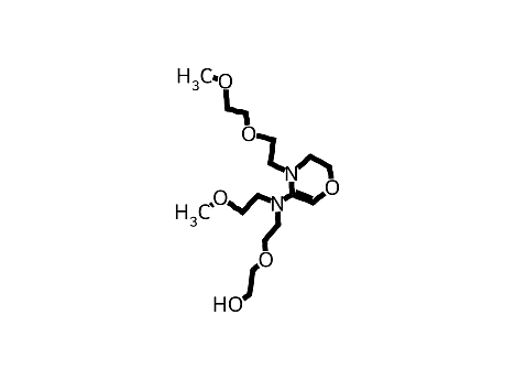 COCCOCCN1CCOC=C1N(CCOC)CCOCCO